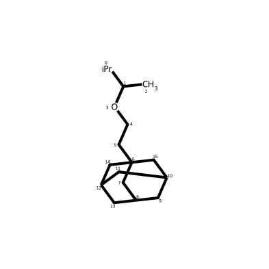 CC(C)C(C)OCCC12CC3CC(CC(C3)C1)C2